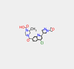 C[C@H]1CN(C(=O)c2ccc3c(Cl)cc(-c4cnn(C5COC5)c4)nc3c2)CCN1C(=O)O